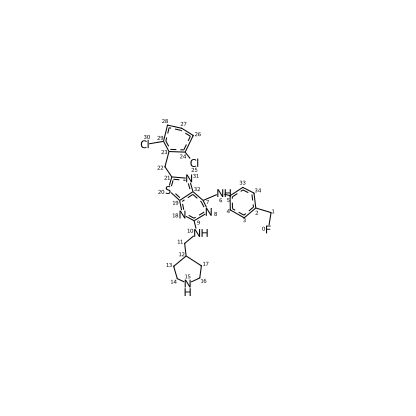 FCc1ccc(Nc2nc(NCC3CCNCC3)nc3sc(Cc4c(Cl)cccc4Cl)nc23)cc1